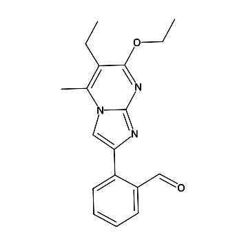 CCOc1nc2nc(-c3ccccc3C=O)cn2c(C)c1CC